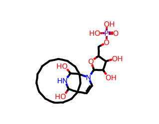 O=P(O)(O)OCC1OC(N2C=CC34CCCCCCCCCCCCC2(C3)C(O)NC4O)C(O)C1O